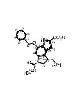 CC(C)(C)OC(=O)N1C[C@@H](CO)c2c1cc(OCc1ccccc1)c1[nH]c(C(=O)O)cc21